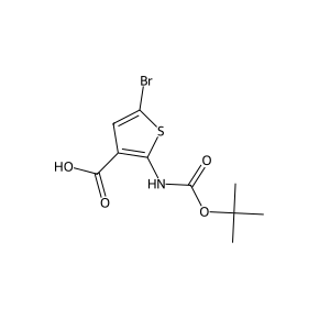 CC(C)(C)OC(=O)Nc1sc(Br)cc1C(=O)O